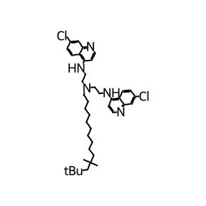 CC(C)(C)CC(C)(C)CCCCCCCCCCN(CCNc1ccnc2cc(Cl)ccc12)CCNc1ccnc2cc(Cl)ccc12